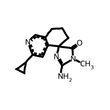 CN1C(=O)C2(CCCc3cnc(C4CC4)cc32)N=C1N